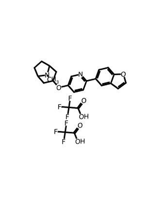 CN1C2CCC1CC(Oc1ccc(-c3ccc4occc4c3)nc1)C2.O=C(O)C(F)(F)F.O=C(O)C(F)(F)F